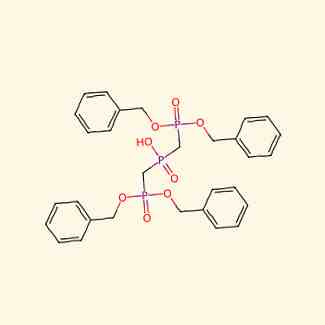 O=P(O)(CP(=O)(OCc1ccccc1)OCc1ccccc1)CP(=O)(OCc1ccccc1)OCc1ccccc1